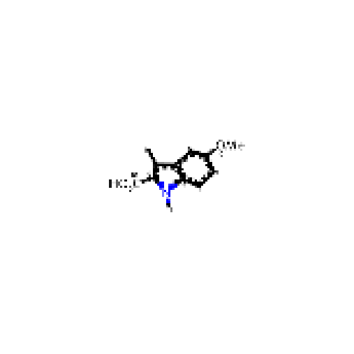 COc1ccc2c(c1)c(C)c(C(=O)O)n2C